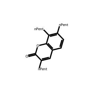 CCCCCc1ccc2cc(CCCCC)c(=O)oc2c1CCCCC